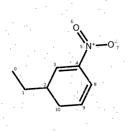 CCC1C=C([N+](=O)[O-])C=CC1